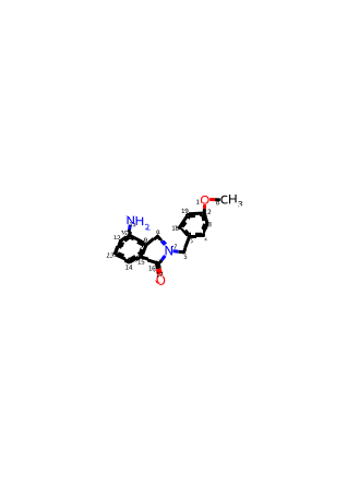 COc1ccc(CN2Cc3c(N)cccc3C2=O)cc1